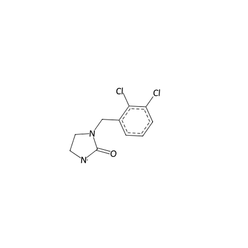 O=C1[N]CCN1Cc1cccc(Cl)c1Cl